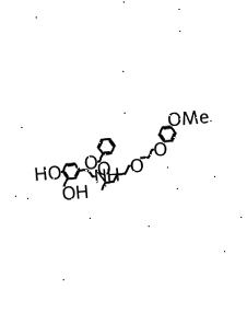 COc1ccc(OCCCOCCCCC(C)NCC(OC(=O)c2ccccc2)c2ccc(O)c(CO)c2)cc1